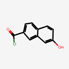 O=C(Cl)c1ccc2ccc(O)cc2c1